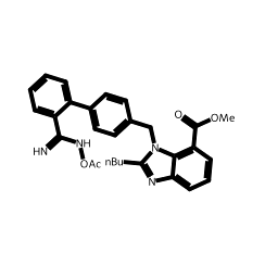 CCCCc1nc2cccc(C(=O)OC)c2n1Cc1ccc(-c2ccccc2C(=N)NOC(C)=O)cc1